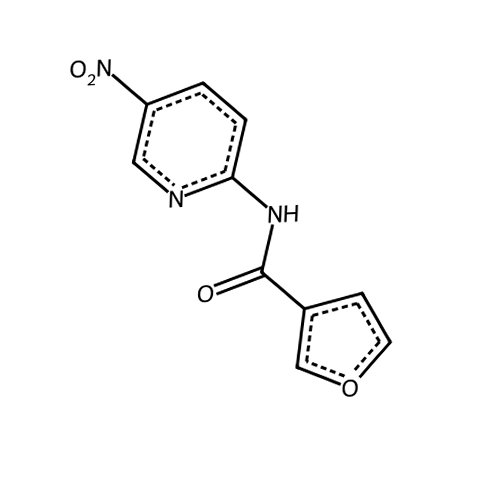 O=C(Nc1ccc([N+](=O)[O-])cn1)c1ccoc1